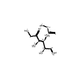 C=COCCC.O=C(CO)[C@H](O)[C@@H](O)[C@H](O)CO